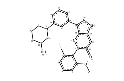 COc1cccc(F)c1-n1nc2c(-c3cccc(N4CCCC(N)C4)c3)n[nH]c2cc1=O